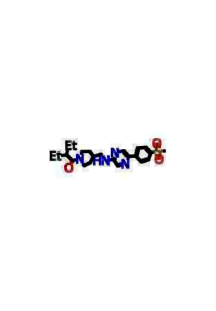 CCC(CC)C(=O)N1CCC(CNc2cnc(-c3ccc(S(C)(=O)=O)cc3)cn2)CC1